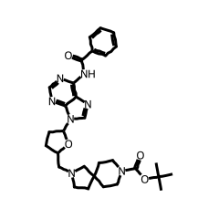 CC(C)(C)OC(=O)N1CCC2(CCN(CC3CCC(n4cnc5c(NC(=O)c6ccccc6)ncnc54)O3)C2)CC1